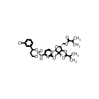 CC(C)C(=O)OC[C@H]1O[C@@H](n2ccc(NP3(=O)OCCC(c4cccc(Cl)c4)O3)nc2=O)C(F)(F)C1OC(=O)C(C)C